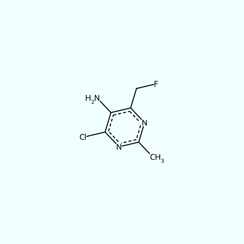 Cc1nc(Cl)c(N)c(CF)n1